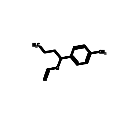 CCCC(O[C]=O)c1ccc(C)cc1